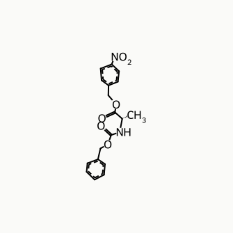 C[C@H](NC(=O)OCc1ccccc1)C(=O)OCc1ccc([N+](=O)[O-])cc1